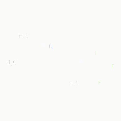 C=C/C(C)=N\C/C=C(\C)C(F)(F)F